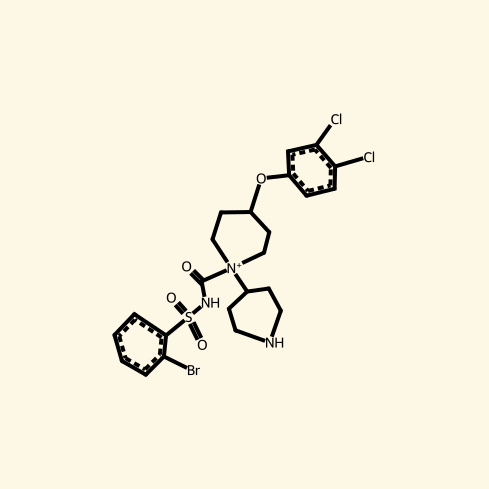 O=C(NS(=O)(=O)c1ccccc1Br)[N+]1(C2CCNCC2)CCC(Oc2ccc(Cl)c(Cl)c2)CC1